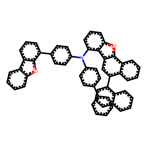 c1ccc(-c2ccc(N(c3ccc(-c4cccc5c4oc4ccccc45)cc3)c3cccc4oc5c6ccccc6c(-c6cccc7ccccc67)cc5c34)cc2)cc1